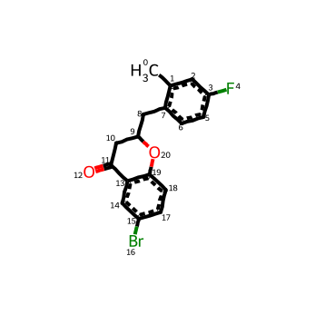 Cc1cc(F)ccc1CC1CC(=O)c2cc(Br)ccc2O1